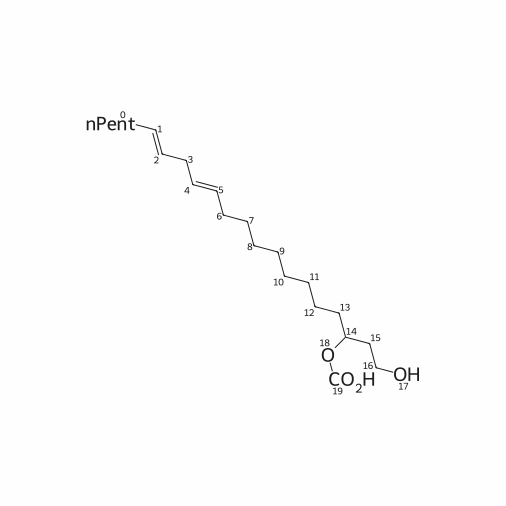 CCCCCC=CCC=CCCCCCCCCC(CCO)OC(=O)O